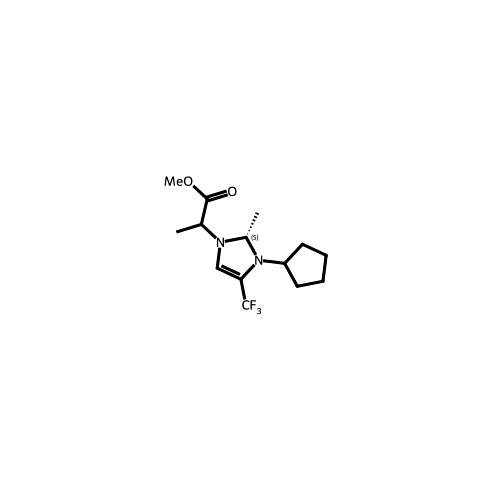 COC(=O)C(C)N1C=C(C(F)(F)F)N(C2CCCC2)[C@H]1C